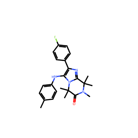 Cc1ccc(Nc2c(-c3ccc(F)cc3)nc3n2C(C)(C)C(=O)N(C)C3(C)C)cc1